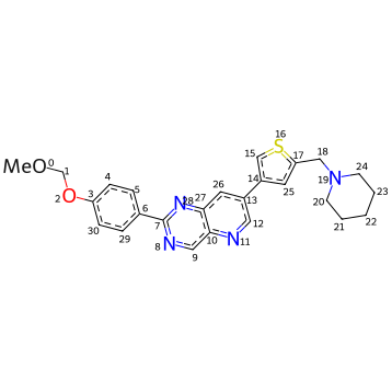 COCOc1ccc(-c2ncc3ncc(-c4csc(CN5CCCCC5)c4)cc3n2)cc1